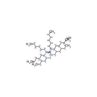 CCCCCC[N](CCCCCC)[Al]([N](CCCCCC)CCCCCC)[N](CCCCCC)CCCCCC.[LiH]